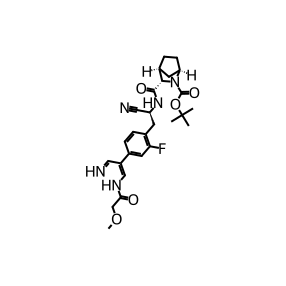 COCC(=O)N/C=C(\C=N)c1ccc(C[C@@H](C#N)NC(=O)[C@@H]2[C@H]3CC[C@H](C3)N2C(=O)OC(C)(C)C)c(F)c1